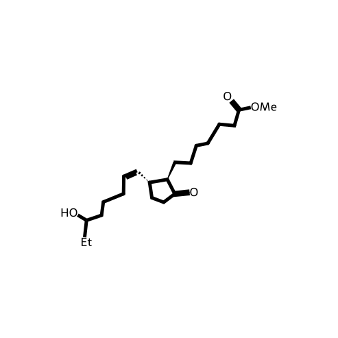 CCC(O)CCC/C=C\[C@H]1CCC(=O)[C@@H]1CCCCCCC(=O)OC